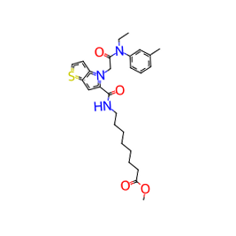 CCN(C(=O)Cn1c(C(=O)NCCCCCCCC(=O)OC)cc2sccc21)c1cccc(C)c1